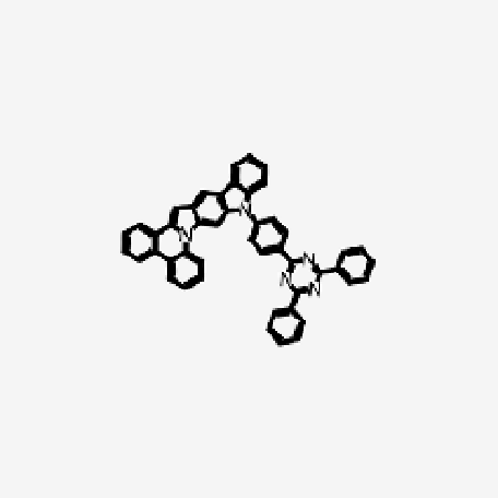 c1ccc(-c2nc(-c3ccccc3)nc(-c3ccc(-n4c5ccccc5c5cc6cc7c8ccccc8c8ccccc8n7c6cc54)cc3)n2)cc1